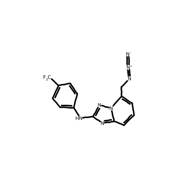 [N-]=[N+]=NCc1cccc2nc(Nc3ccc(C(F)(F)F)cc3)nn12